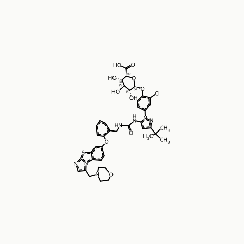 CC(C)(C)c1cc(NC(=O)NCc2ccccc2Oc2ccc3c(c2)sc2ncc(CN4CCOCC4)n23)n(-c2ccc(O[C@@H]3O[C@H](C(=O)O)[C@@H](O)[C@H](O)[C@H]3O)c(Cl)c2)n1